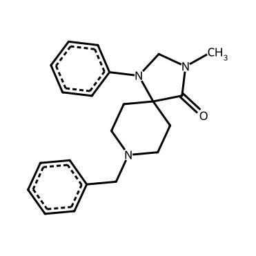 CN1CN(c2ccccc2)C2(CCN(Cc3ccccc3)CC2)C1=O